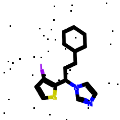 Ic1ccsc1C(CCC1CCCCC1)n1ccnc1